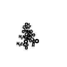 C=C1CCC(C(=O)NC(CC(N)=O)C(=O)N2CCCC2C(=O)NC(Cc2c[nH]c3ccccc23)C(=O)Nc2ccc3c(C)cc(=O)oc3c2)N1